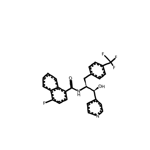 O=C(N[C@@H](Cc1ccc(C(F)(F)F)cc1)[C@@H](O)c1ccncc1)c1ccc(F)c2ccccc12